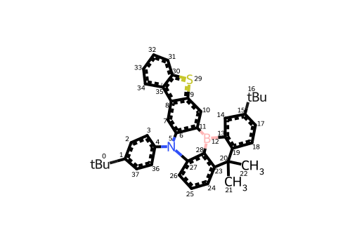 CC(C)(C)c1ccc(N2c3cc4c(cc3B3c5cc(C(C)(C)C)ccc5C(C)(C)c5cccc2c53)sc2ccccc24)cc1